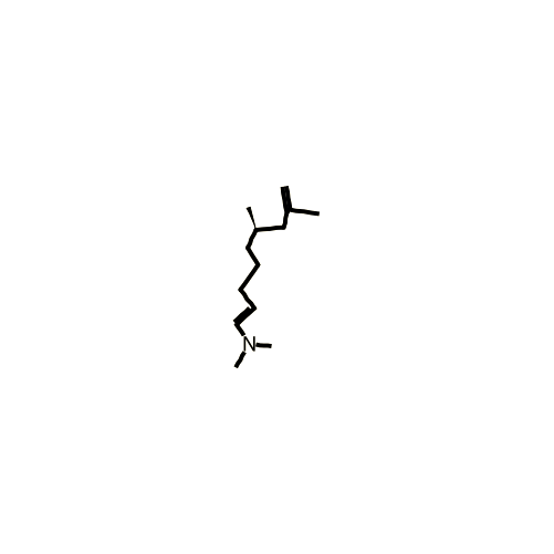 C=C(C)C[C@H](C)CCC/C=C/N(C)C